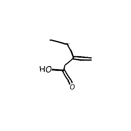 C=C([CH]C)C(=O)O